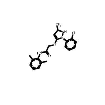 Cc1cccc(C)c1NC(=O)COC1=CC(C(F)(F)F)NN1c1ccccc1Cl